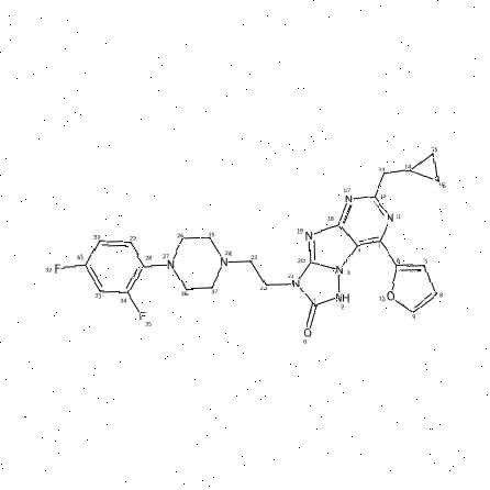 O=c1[nH]n2c3c(-c4ccco4)nc(CC4CC4)nc3nc2n1CCN1CCN(c2ccc(F)cc2F)CC1